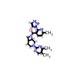 Cc1ccc(C(=O)N2CC3CCN(c4ncc(C)c(C)n4)CC32)c(-n2ccnn2)n1